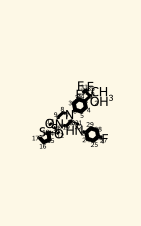 CC(O)(c1ccc(N2CCN(S(=O)(=O)c3cccs3)C[C@@H]2CNc2ccc(F)cc2)cc1)C(F)(F)F